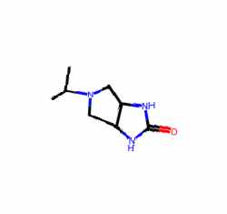 CC(C)N1CC2NC(=O)NC2C1